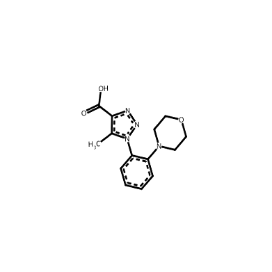 Cc1c(C(=O)O)nnn1-c1ccccc1N1CCOCC1